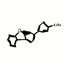 CC(C)(C)c1ccc(-c2ccc3c(c2)oc2ccccc23)cc1